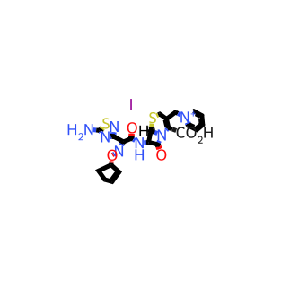 Nc1nc(C(=NOC2C=CCC2)C(=O)NC2C(=O)N3C(C(=O)O)=C(C[n+]4ccccc4)CS[C@@H]23)ns1.[I-]